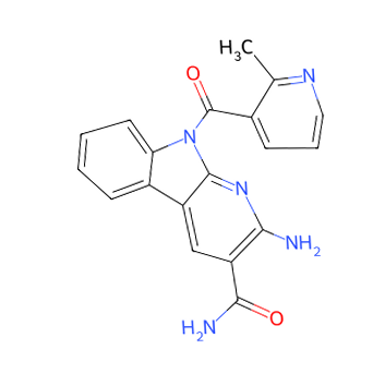 Cc1ncccc1C(=O)n1c2ccccc2c2cc(C(N)=O)c(N)nc21